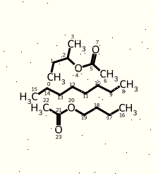 CCC(C)OC(C)=O.CCCCCCCC.CCCCOC(C)=O